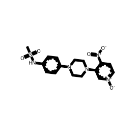 CS(=O)(=O)Nc1ccc(N2CCN(c3c[n+]([O-])ccc3[N+](=O)[O-])CC2)cc1